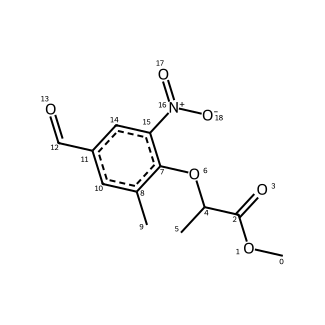 COC(=O)C(C)Oc1c(C)cc(C=O)cc1[N+](=O)[O-]